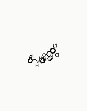 CCN1CCCC1CNc1cccc(OC(Cc2cc(Cl)cc(Cl)c2)c2ncc[nH]2)n1